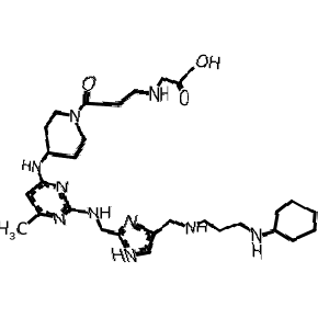 Cc1cc(NC2CCN(C(=O)CCNCC(=O)O)CC2)nc(NCc2nc(CNCCCNC3CCCCC3)c[nH]2)n1